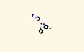 C[Si](C)(C)c1ccc2c(c1)cc(C(=O)Nc1ccc(N3CCC3)nc1)n2Cc1cccc(C(F)(F)F)c1